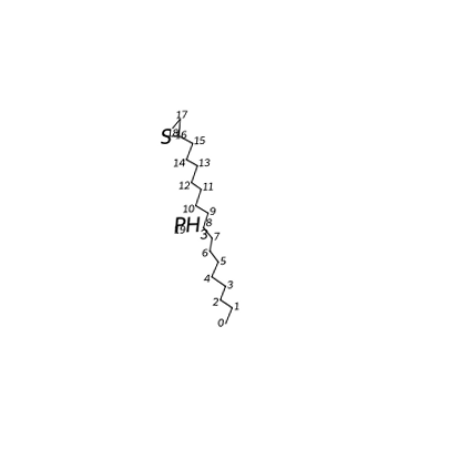 CCCCCCCCCCCCCCCCC1CS1.P